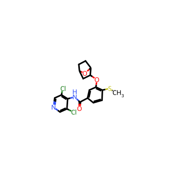 CSc1ccc(C(=O)Nc2c(Cl)cncc2Cl)cc1OC1CC2CCC1O2